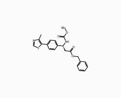 Cc1ncsc1-c1ccc([C@H](CC(=O)OCc2ccccc2)NC(=O)OC(C)(C)C)cc1